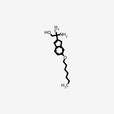 CCCCCCCOc1ccc2c(c1)CC(C(C)(N)CO)=C2